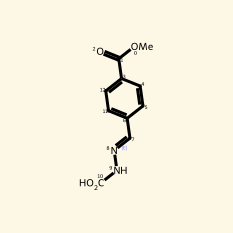 COC(=O)c1ccc(/C=N/NC(=O)O)cc1